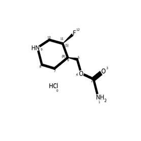 Cl.NC(=O)OC[C@H]1CCNC[C@H]1F